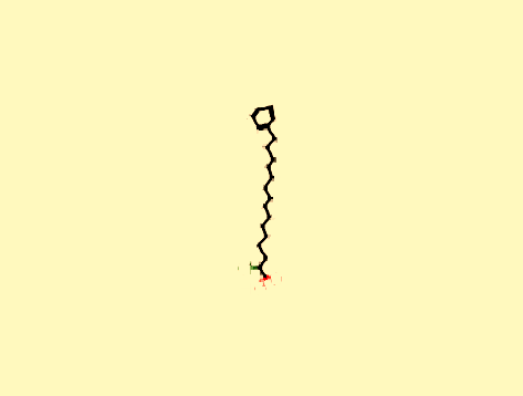 O=C(O)C(Cl)CCCCCCCCCCCCCc1ccccc1